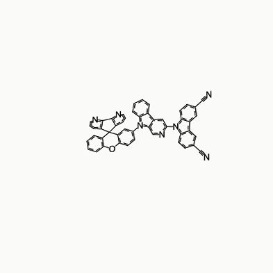 N#Cc1ccc2c(c1)c1cc(C#N)ccc1n2-c1cc2c3ccccc3n(-c3ccc4c(c3)C3(c5ccccc5O4)c4cccnc4-c4ncccc43)c2cn1